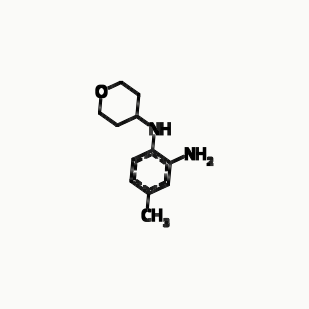 Cc1ccc(NC2CCOCC2)c(N)c1